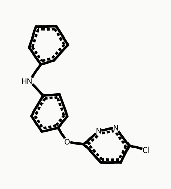 Clc1ccc(Oc2ccc(Nc3ccccc3)cc2)nn1